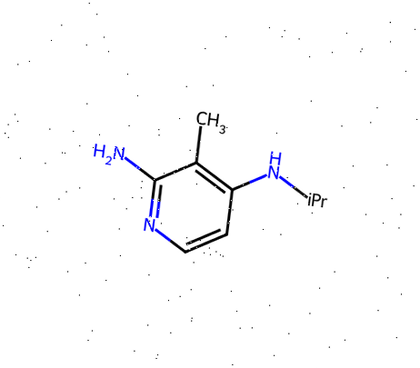 Cc1c(NC(C)C)ccnc1N